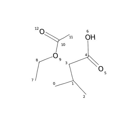 CC(C)CC(=O)O.CCOC(C)=O